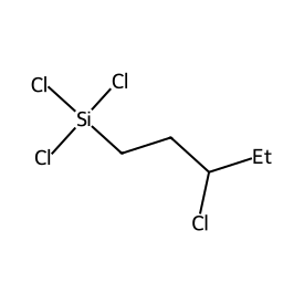 CCC(Cl)CC[Si](Cl)(Cl)Cl